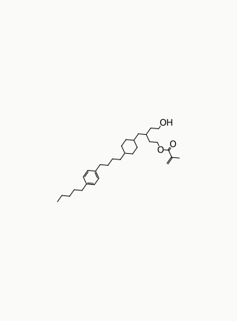 C=C(C)C(=O)OCCC(CCO)CC1CCC(CCCCc2ccc(CCCCC)cc2)CC1